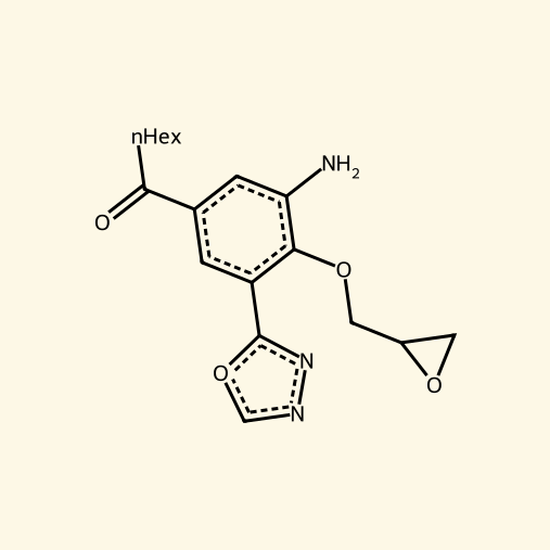 CCCCCCC(=O)c1cc(N)c(OCC2CO2)c(-c2nnco2)c1